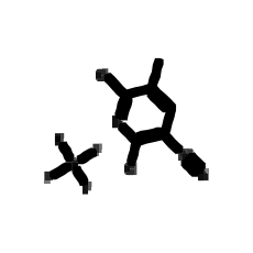 Cc1cc([N+]#N)c(Cl)nc1Cl.F[B-](F)(F)F